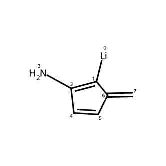 [Li][C]1=C(N)C=CC1=C